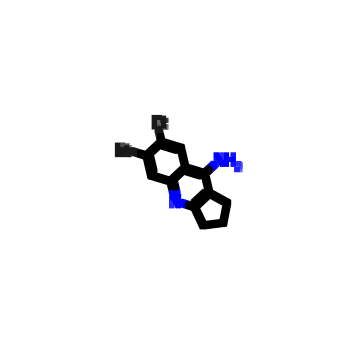 CCc1cc2nc3c(c(N)c2cc1CC)CCC3